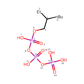 CCCCC(CC)COP(=O)(O)OP(=O)(O)OP(=O)(O)O